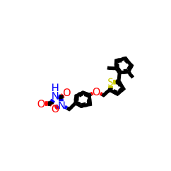 Cc1cccc(C)c1-c1ccc(COc2ccc(Cn3oc(=O)[nH]c3=O)cc2)s1